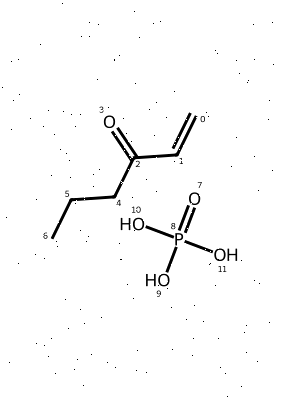 C=CC(=O)CCC.O=P(O)(O)O